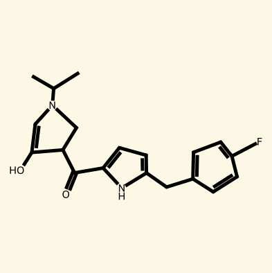 CC(C)N1C=C(O)C(C(=O)c2ccc(Cc3ccc(F)cc3)[nH]2)C1